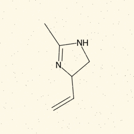 C=CC1CNC(C)=N1